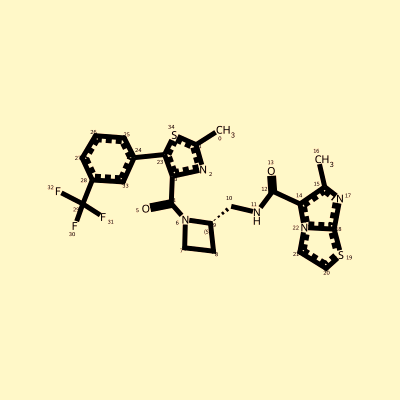 Cc1nc(C(=O)N2CC[C@H]2CNC(=O)c2c(C)nc3sccn23)c(-c2cccc(C(F)(F)F)c2)s1